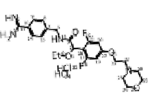 CCOC(C(=O)NCc1ccc(C(=N)N)cc1)c1c(F)cc(OCCN2CCOCC2)cc1F.Cl.Cl